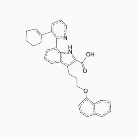 O=C(O)c1[nH]c2c(-c3ncccc3C3=CCCCC3)cccc2c1CCCOc1cccc2ccccc12